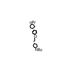 CCCC[C@H]1CC[C@H](CCCOc2ccc([C@H]3CC[C@H](CCC)CC3)cc2)CC1